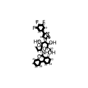 O=C(N[C@@H]1CCO[C@]12O[C@H](CO)[C@H](O)[C@H](n1cc(-c3cc(F)c(F)c(F)c3)nn1)[C@H]2O)c1ccccc1-c1ccccc1